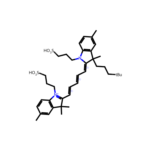 Cc1ccc2c(c1)C(C)(C)C(/C=C/C=C/C=C1\N(CCCS(=O)(=O)O)c3ccc(C)cc3C1(C)CCCC(C)(C)C)=[N+]2CCCS(=O)(=O)O